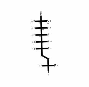 FC(F)(F)CCC(F)(F)C(F)(F)C(F)(F)C(F)(F)C(F)(F)S